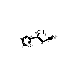 C/C(=C\C#N)c1ccco1